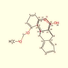 COCOc1ccccc1C1C2c3ccccc3C(c3ccccc32)C1C(=O)O